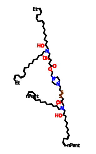 CC/C=C\C/C=C\C/C=C\CCCCCC[C@@H](O)CN(CCCCC(=O)OCCN1CCN(CCSSCCCN(C[C@@H](O)CCCCCC/C=C\C/C=C\CCCCC)C[C@@H](O)CCCCCC/C=C\C/C=C\CCCCC)CC1)C[C@H](O)CCCCCC/C=C\C/C=C\C/C=C\CC